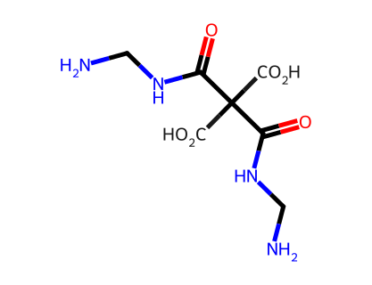 NCNC(=O)C(C(=O)O)(C(=O)O)C(=O)NCN